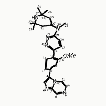 COc1cc(-c2cnc3cnccn23)ccc1-c1ccc(N(C)C2CC(C)(C)NC(C)(C)C2)nn1